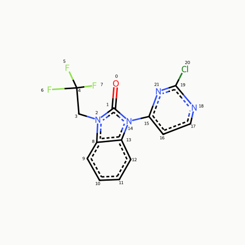 O=c1n(CC(F)(F)F)c2ccccc2n1-c1ccnc(Cl)n1